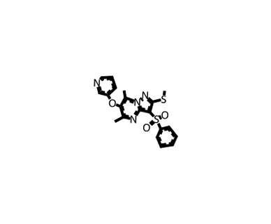 CSc1nn2c(C)c(Oc3cccnc3)c(C)nc2c1S(=O)(=O)c1ccccc1